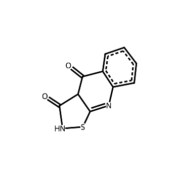 O=C1NSC2=Nc3ccccc3C(=O)C12